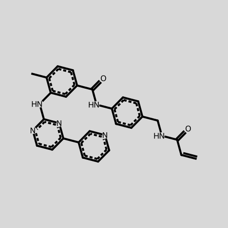 C=CC(=O)NCc1ccc(NC(=O)c2ccc(C)c(Nc3nccc(-c4cccnc4)n3)c2)cc1